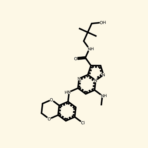 CNc1cc(Nc2cc(Cl)cc3c2OCCO3)nc2c(C(=O)NCC(C)(C)CO)cnn12